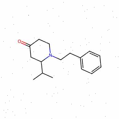 CC(C)C1CC(=O)CCN1CCc1ccccc1